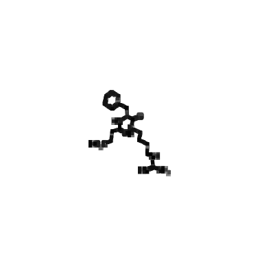 N=C(N)NCCCCNC(=O)[C@H](Cc1ccccc1)NC(=O)CCC(=O)O